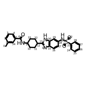 Cc1cccc(C(=O)NC2CCC(c3nc4ccc(NS(=O)(=O)c5ccccc5)cc4[nH]3)CC2)c1